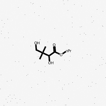 CCCOC(=O)C(O)C(C)(C)CO